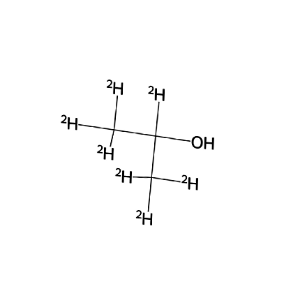 [2H]C([2H])([2H])C([2H])(O)C([2H])([2H])[2H]